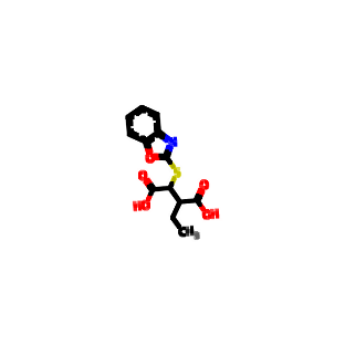 CCC(C(=O)O)C(Sc1nc2ccccc2o1)C(=O)O